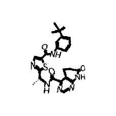 C[C@@H](NC(=O)c1ncnc2c1CCC(=O)N2)c1ncc(C(=O)Nc2cccc(C(C)(C)C)c2)s1